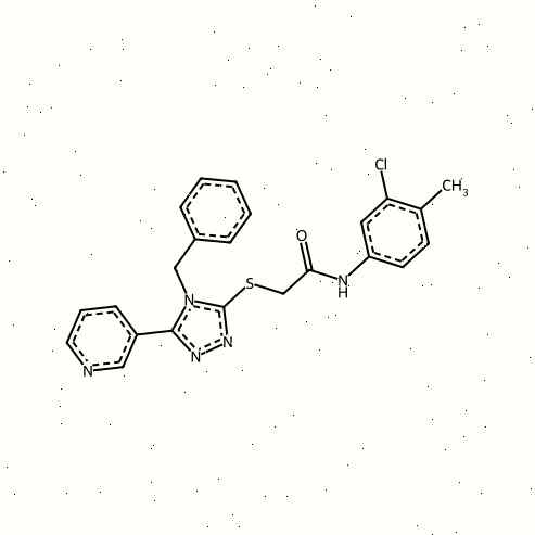 Cc1ccc(NC(=O)CSc2nnc(-c3cccnc3)n2Cc2ccccc2)cc1Cl